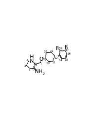 N[C@H]1CCCN[C@H]1CO[C@H]1CC[C@@H](c2cccc(F)c2F)CC1